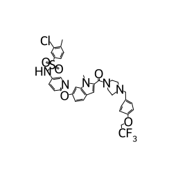 Cc1ccc(S(=O)(=O)Nc2ccc(Oc3ccc4cc(C(=O)N5CCN(Cc6ccc(OCC(F)(F)F)cc6)CC5)n(C)c4c3)nc2)cc1Cl